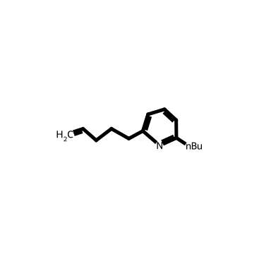 C=CCCCc1cccc(CCCC)n1